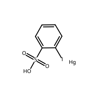 O=S(=O)(O)c1ccccc1I.[Hg]